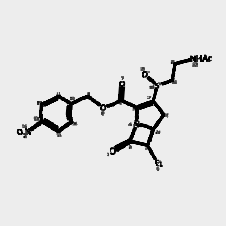 CCC1C(=O)N2C(C(=O)OCc3ccc([N+](=O)[O-])cc3)=C([S+]([O-])CCNC(C)=O)CC12